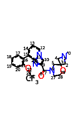 CN1CC2(C1)CN(C(=O)c1cn3cccc(-c4ccccc4OCC(F)(F)F)c3n1)CCO2